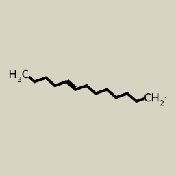 [CH2]CCCCCCC=CCCCC